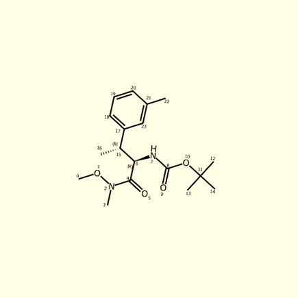 CON(C)C(=O)[C@H](NC(=O)OC(C)(C)C)[C@H](C)c1cccc(C)c1